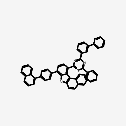 c1ccc(-c2cccc(-c3nc(-c4ccccc4)nc(-c4ccc(-c5ccc(-c6cccc7ccccc67)cc5)c5oc6ccc7ccccc7c6c45)n3)c2)cc1